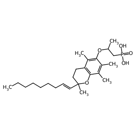 CCCCCCCC=CC1(C)CCc2c(C)c(OC(C)CP(=O)(O)O)c(C)c(C)c2O1